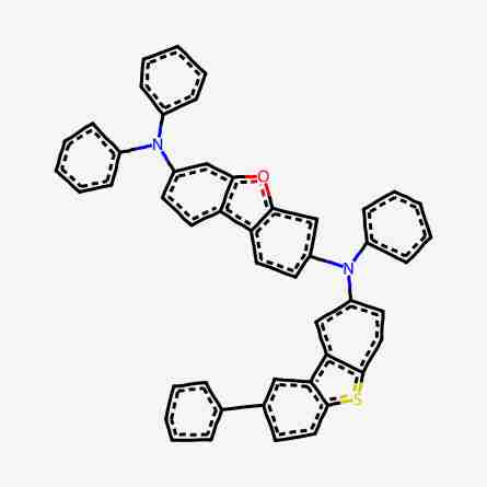 c1ccc(-c2ccc3sc4ccc(N(c5ccccc5)c5ccc6c(c5)oc5cc(N(c7ccccc7)c7ccccc7)ccc56)cc4c3c2)cc1